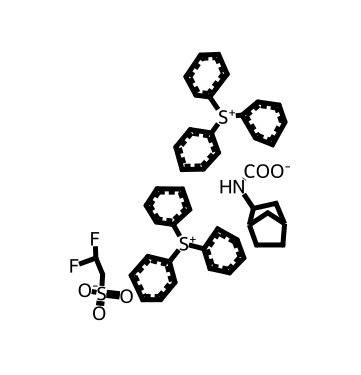 O=C([O-])NC1CC2CCC1C2.O=S(=O)([O-])CC(F)F.c1ccc([S+](c2ccccc2)c2ccccc2)cc1.c1ccc([S+](c2ccccc2)c2ccccc2)cc1